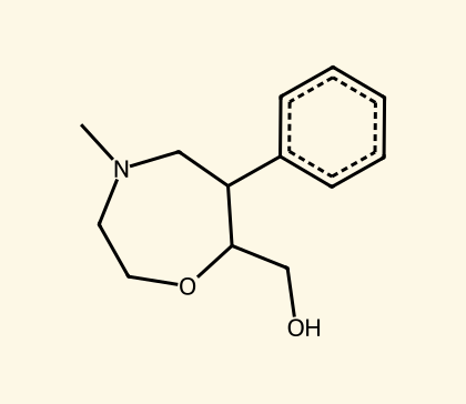 CN1CCOC(CO)C(c2ccccc2)C1